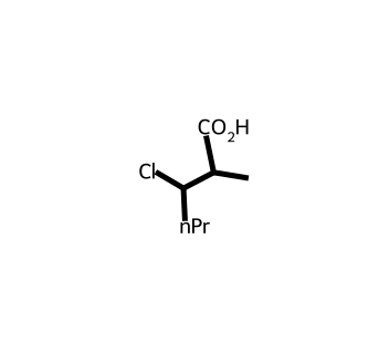 CCCC(Cl)C(C)C(=O)O